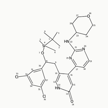 CC(C)(C)[Si](C)(C)OC(Cc1c[nH]c(=O)cc1-c1ccnc(NC2CCOCC2)n1)c1cc(Cl)cc(Cl)c1